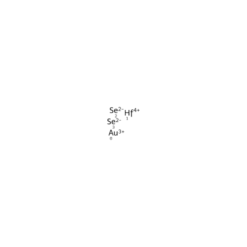 [Au+3].[Hf+4].[Se-2].[Se-2]